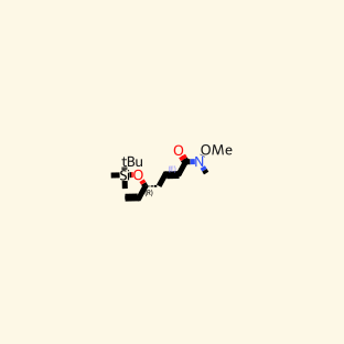 C=C[C@@H](C/C=C/C(=O)N(C)OC)O[Si](C)(C)C(C)(C)C